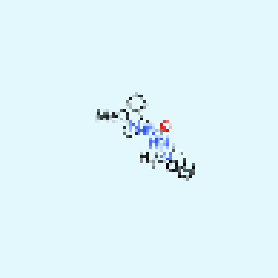 COc1ccccc1C(CNC(=O)NCC(Cc1ccccc1)N(C)C)N1CCCC1